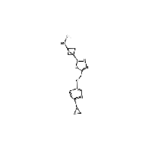 CNC12CC(c3nnc(COc4ccc(C5CC5)nc4)o3)(C1)C2